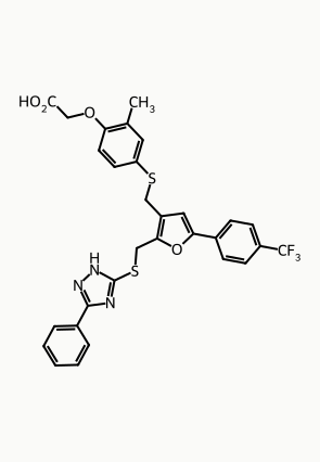 Cc1cc(SCc2cc(-c3ccc(C(F)(F)F)cc3)oc2CSc2nc(-c3ccccc3)n[nH]2)ccc1OCC(=O)O